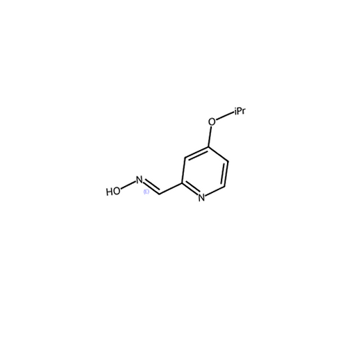 CC(C)Oc1ccnc(/C=N/O)c1